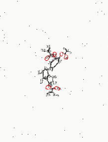 C=C(C)C(=O)Oc1ccc(-c2cccc3c2CCC3OC(=O)C(=C)C)cc1OC(=O)C(=C)C